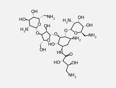 NC[C@@H]1O[C@H](O[C@H]2[C@@H](O)[C@H](O[C@@H]3[C@@H](O)[C@H](NC(=O)[C@@H](O)[C@@H](O)CN)C[C@H](N)[C@H]3O[C@H]3O[C@H](CN)[C@@H](O)[C@@H](O)[C@H]3N)O[C@@H]2CO)[C@H](N)[C@@H](O)[C@@H]1O